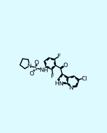 O=C(c1c(F)ccc(NS(=O)(=O)N2CCCC2)c1F)c1c[nH]c2ncc(Cl)cc12